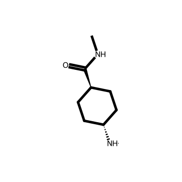 CNC(=O)[C@H]1CC[C@H]([NH])CC1